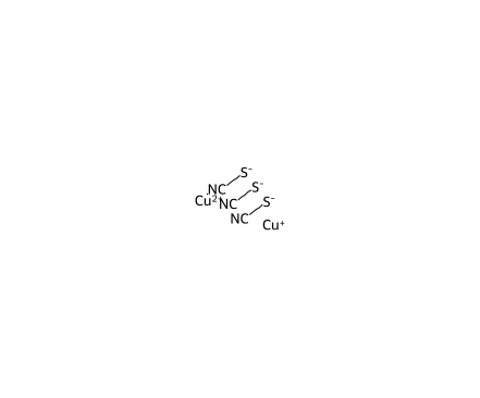 N#C[S-].N#C[S-].N#C[S-].[Cu+2].[Cu+]